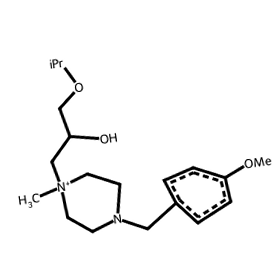 COc1ccc(CN2CC[N+](C)(CC(O)COC(C)C)CC2)cc1